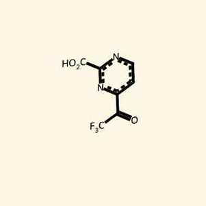 O=C(O)c1nccc(C(=O)C(F)(F)F)n1